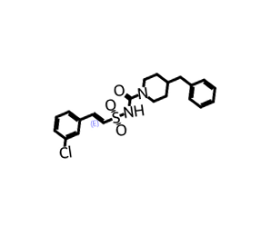 O=C(NS(=O)(=O)/C=C/c1cccc(Cl)c1)N1CCC(Cc2ccccc2)CC1